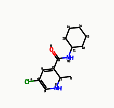 CC1NC=C(Cl)C=C1C(=O)NC1CCCCC1